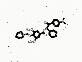 COc1cc(C(=O)OC(C(=O)c2ccc(N(C)C)cc2)c2ccccc2)cc(OC)c1OCc1ccccc1